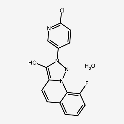 O.OC1=C2C=Cc3cccc(F)c3N2[N]N1c1ccc(Cl)nc1